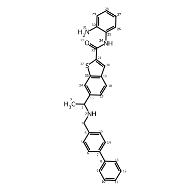 CC(NCc1ccc(-c2ccccc2)cc1)c1ccc2cc(C(=O)Nc3ccccc3N)sc2c1